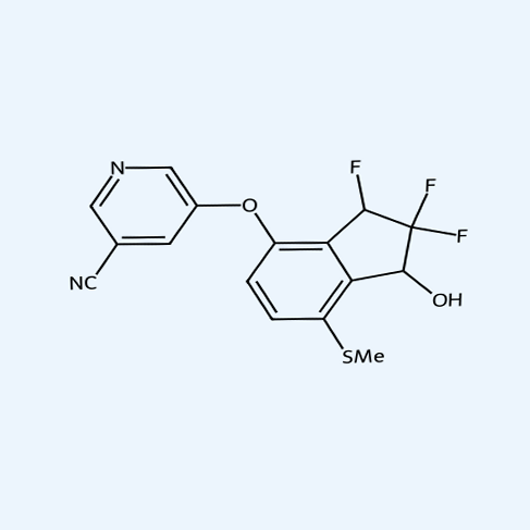 CSc1ccc(Oc2cncc(C#N)c2)c2c1C(O)C(F)(F)C2F